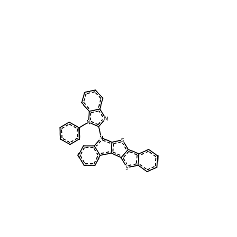 c1ccc(-n2c(-n3c4ccccc4c4c5sc6ccccc6c5sc43)nc3ccccc32)cc1